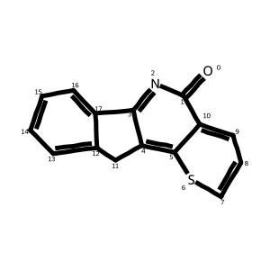 O=c1nc2c(c3scccc1-3)Cc1ccccc1-2